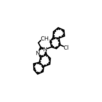 CCc1nc2c3ccccc3ccc2n1-c1cc(Cl)c2ccccc2c1